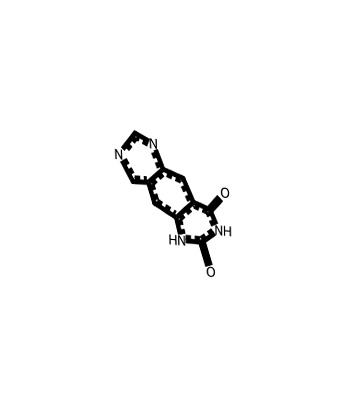 O=c1[nH]c(=O)c2cc3ncncc3cc2[nH]1